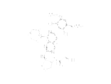 C=CC(=O)N[C@H]1COC[C@H]1Nc1ncc2cc(-c3c(Cl)c(OC)cc(OC)c3Cl)nc(N3CCOCC3)c2n1